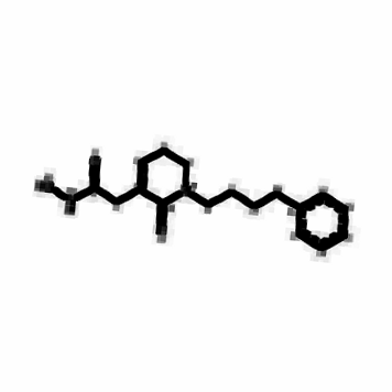 O=C(CC1=CCCN(CCCCc2ccccc2)C1=O)NO